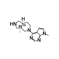 Cn1ccc2c(N3CC[C@@H]4CNC[C@]4(C)C3)ncnc21